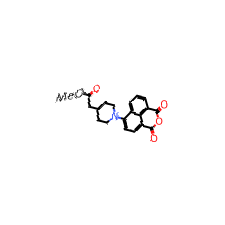 COC(=O)CC1CCN(c2ccc3c4c(cccc24)C(=O)OC3=O)CC1